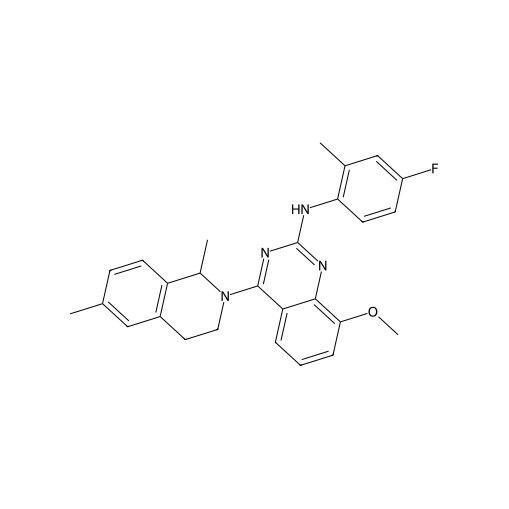 COc1cccc2c(N3CCc4cc(C)ccc4C3C)nc(Nc3ccc(F)cc3C)nc12